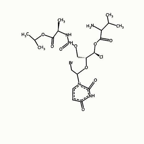 CC(C)OC(=O)[C@@H](C)N[PH](=O)OC[C@@H](OC(CBr)n1ccc(=O)[nH]c1=O)[C@H](Cl)OC(=O)C(N)C(C)C